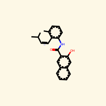 Cc1cccc(NC(=O)c2cc3ccccc3cc2O)c1/C=C\C(C)C